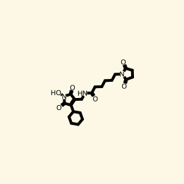 O=C(CCCCCN1C(=O)CCC1=O)NCC1=C(C2CCCCC2)C(=O)N(O)C1=O